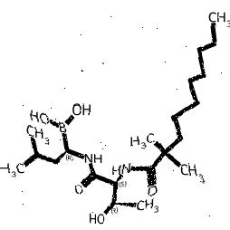 CCCCCCCCC(C)(C)C(=O)N[C@H](C(=O)N[C@@H](CC(C)C)B(O)O)[C@@H](C)O